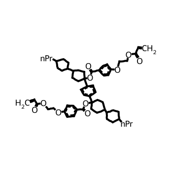 C=CC(=O)OCCOc1ccc(C(=O)OC2(c3ccc(C4(OC(=O)c5ccc(OCCOC(=O)C=C)cc5)CCC(C5CCC(CCC)CC5)CC4)cc3)CCC(C3CCC(CCC)CC3)CC2)cc1